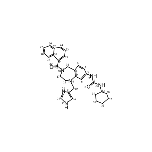 O=C(Nc1ccc2c(c1)N(Cc1c[nH]cn1)CCN(C(=O)c1cccc3ccccc13)C2)NC1CCCCC1